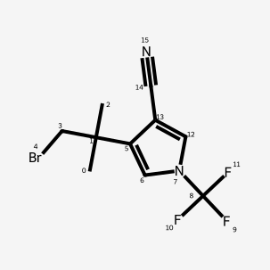 CC(C)(CBr)c1cn(C(F)(F)F)cc1C#N